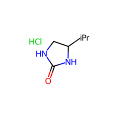 CC(C)C1CNC(=O)N1.Cl